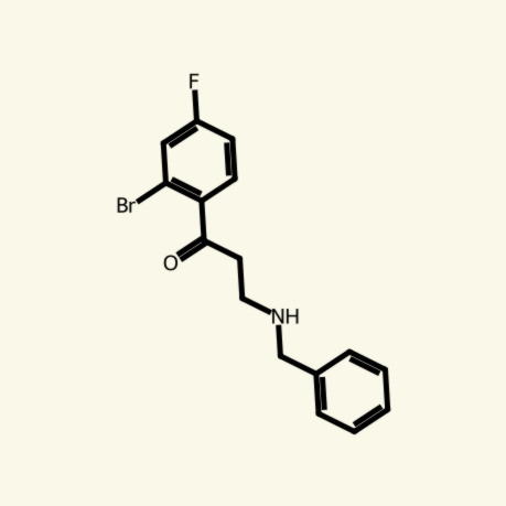 O=C(CCNCc1ccccc1)c1ccc(F)cc1Br